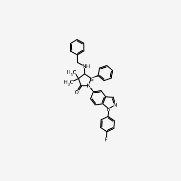 CC1(C)C(=O)N(c2ccc3c(cnn3-c3ccc(F)cc3)c2)[C@H](c2ccccc2)C1NCc1ccccc1